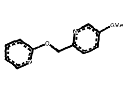 COc1ccc(COc2ccccn2)nc1